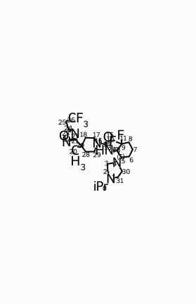 CC(C)N1CCN([C@H]2CCCC(F)(F)[C@@H]2NC(=O)N2CCC(C)(c3noc(CC(F)(F)F)n3)CC2)CC1